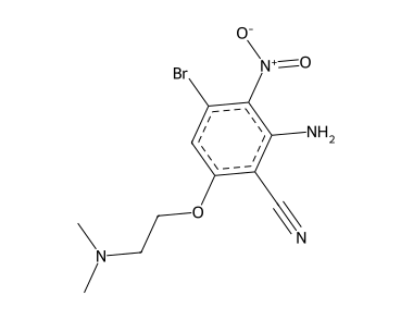 CN(C)CCOc1cc(Br)c([N+](=O)[O-])c(N)c1C#N